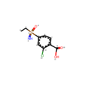 CCS(=N)(=O)c1ccc(C(=O)O)c(Cl)c1